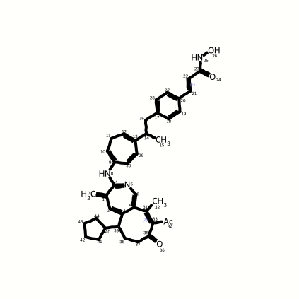 C=C1C=C2C(=CN=C1NC1=CCC=C(C(C)Cc3ccc(/C=C/C(=O)NO)cc3)C=C1)/C(C)=C(/C(C)=O)C(=O)CCC2C1CCCC1